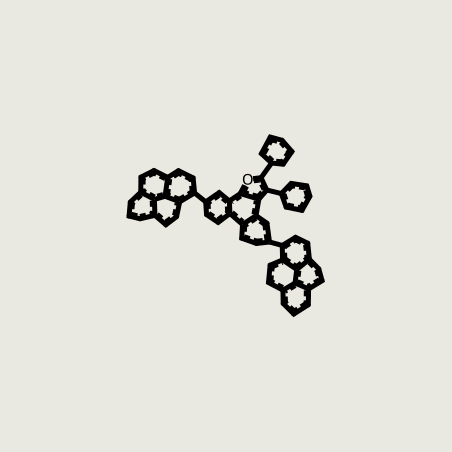 c1ccc(-c2oc3c4cc(-c5ccc6ccc7cccc8ccc5c6c78)ccc4c4ccc(-c5ccc6ccc7cccc8ccc5c6c78)cc4c3c2-c2ccccc2)cc1